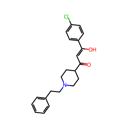 O=C(/C=C(\O)c1ccc(Cl)cc1)C1CCN(CCc2ccccc2)CC1